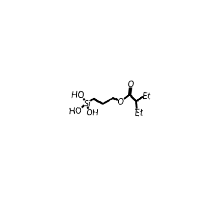 CCC(CC)C(=O)OCCC[Si](O)(O)O